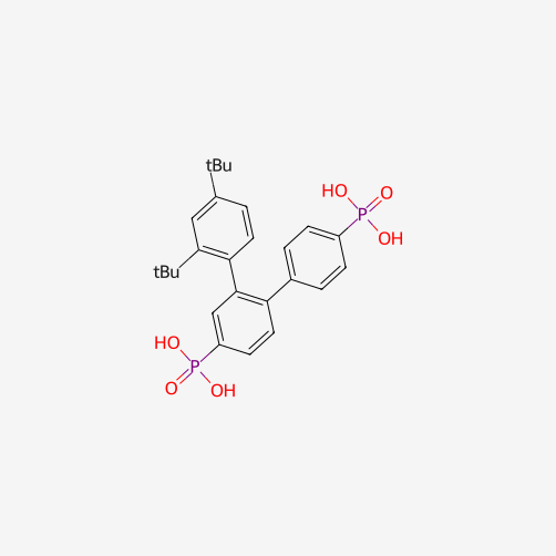 CC(C)(C)c1ccc(-c2cc(P(=O)(O)O)ccc2-c2ccc(P(=O)(O)O)cc2)c(C(C)(C)C)c1